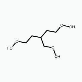 OOCCC(CCOO)COO